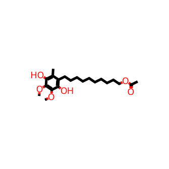 COc1c(O)c(C)c(CCCCCCCCCCOC(C)=O)c(O)c1OC